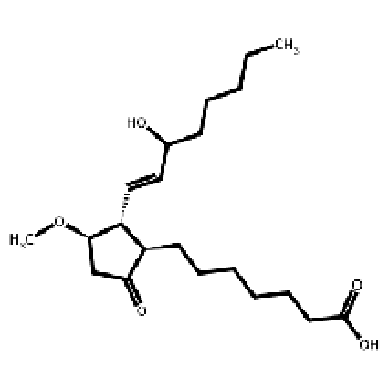 CCCCCC(O)C=C[C@H]1[C@H](OC)CC(=O)[C@@H]1CCCCCCC(=O)O